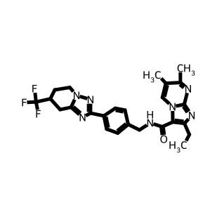 CCc1nc2nc(C)c(C)cn2c1C(=O)NCc1ccc(-c2nc3n(n2)CCC(C(F)(F)F)C3)cc1